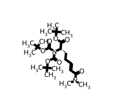 CN(C)C(=O)/C=C/CC[C@@H](C(=O)OC(C)(C)C)N(C(=O)OC(C)(C)C)C(=O)OC(C)(C)C